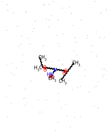 CCCCCCCCC(CCCCCCCC)OC(=O)CCCCCCCN(CCCCCCCC(=O)OCC(C)CCCCCCC)CCCNC(=O)OC